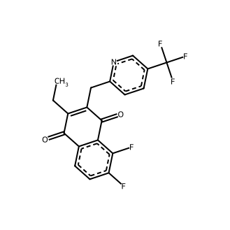 CCC1=C(Cc2ccc(C(F)(F)F)cn2)C(=O)c2c(ccc(F)c2F)C1=O